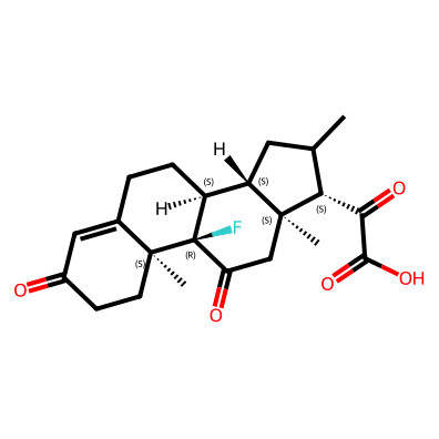 CC1C[C@H]2[C@@H]3CCC4=CC(=O)CC[C@]4(C)[C@@]3(F)C(=O)C[C@]2(C)[C@H]1C(=O)C(=O)O